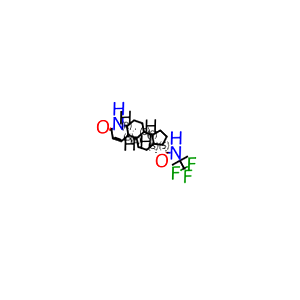 CC(C)(NC(=O)[C@H]1CC[C@H]2[C@@H]3CC[C@H]4NC(=O)C=C[C@]4(C)[C@H]3CC[C@]12C)C(F)(F)F